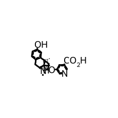 CN1CC[C@]2(C)c3cc(O)ccc3CC1[C@H]2COc1cncc(C(=O)O)c1